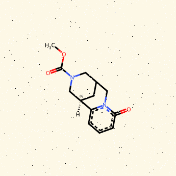 COC(=O)N1CC2C[C@H](C1)c1cccc(=O)n1C2